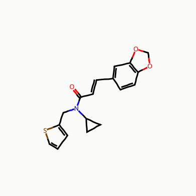 O=C(/C=C/c1ccc2c(c1)OCO2)N(Cc1cccs1)C1CC1